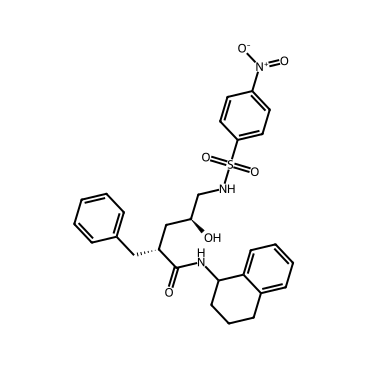 O=C(NC1CCCc2ccccc21)[C@H](Cc1ccccc1)C[C@H](O)CNS(=O)(=O)c1ccc([N+](=O)[O-])cc1